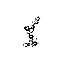 Cc1cnc(N2CC3(CCOCC3)C2)c(C(=O)Nc2ccc(C(=O)N3CCc4cc(C(=O)Nc5cccnn5)sc4-c4ncccc43)cc2)c1